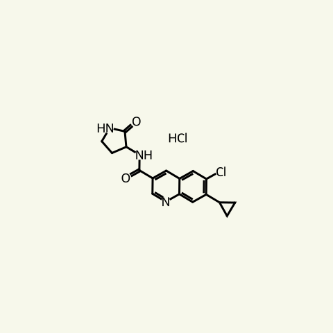 Cl.O=C(NC1CCNC1=O)c1cnc2cc(C3CC3)c(Cl)cc2c1